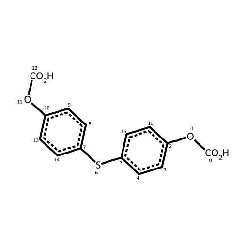 O=C(O)Oc1ccc(Sc2ccc(OC(=O)O)cc2)cc1